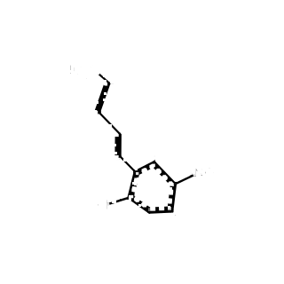 O=C(O)C=CC=Cc1cc([N+](=O)[O-])ccc1Cl